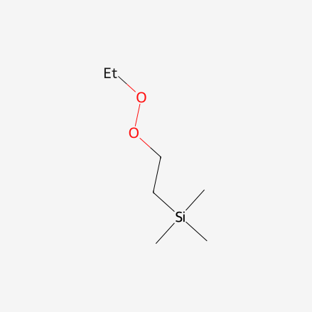 CCOOCC[Si](C)(C)C